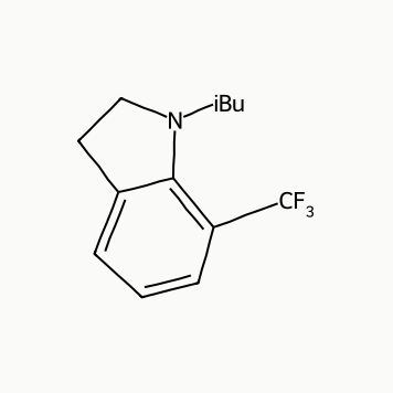 CCC(C)N1CCc2cccc(C(F)(F)F)c21